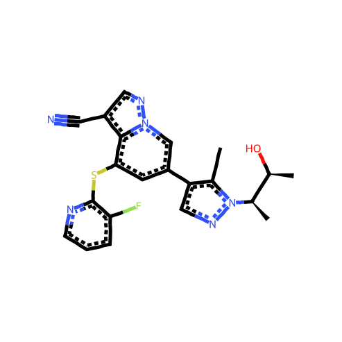 Cc1c(-c2cc(Sc3ncccc3F)c3c(C#N)cnn3c2)cnn1[C@H](C)[C@H](C)O